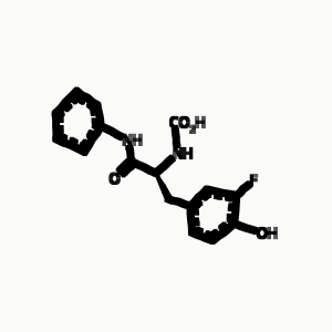 O=C(O)N[C@@H](Cc1ccc(O)c(F)c1)C(=O)Nc1ccccc1